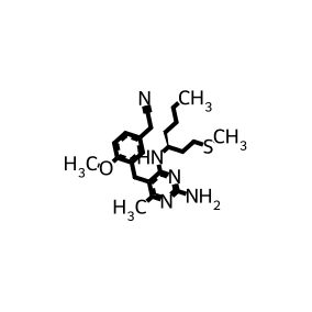 CCCC[C@@H](CCSC)Nc1nc(N)nc(C)c1Cc1cc(CC#N)ccc1OC